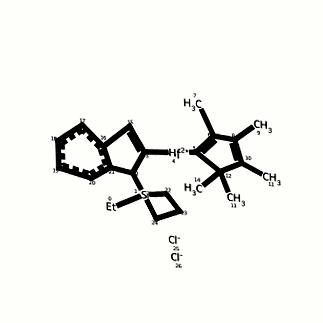 CC[Si]1(C2[C]([Hf+2][C]3=C(C)C(C)=C(C)C3(C)C)=Cc3ccccc32)CCC1.[Cl-].[Cl-]